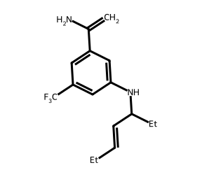 C=C(N)c1cc(NC(C=CCC)CC)cc(C(F)(F)F)c1